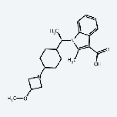 COC1CN(C2CCC([C@@H](C)n3c(C)c(C(=O)O)c4ccccc43)CC2)C1